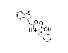 O=C(Cc1csc2ccccc12)N[C@@H](Cc1ccccc1)C(=O)O